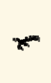 C=CCc1cc(/C=C/C(=O)OCOCC[Si](C)(C)C)c(OC)cc1OCOC